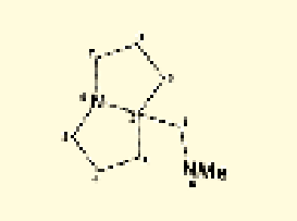 CNCC12CCCN1CCC2